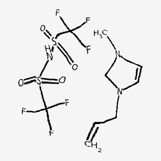 C=CCN1C=CN(C)C1.O=S(=O)(NS(=O)(=O)C(F)(F)F)C(F)(F)F